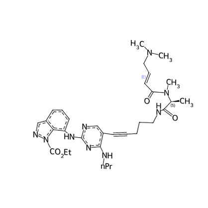 CCCNc1nc(Nc2cccc3cnn(C(=O)OCC)c23)ncc1C#CCCCNC(=O)[C@H](C)N(C)C(=O)/C=C/CN(C)C